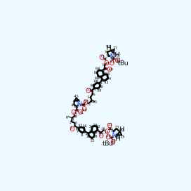 C[C@H](CCC(=O)c1ccc(-c2cccc3c(C(=O)COC(=O)[C@@H]4C[C@@H]5C[C@H]5N4C(=O)OC(C)(C)C)cccc23)cc1)COC(=O)C1CC2CC2N1C(=O)OC[C@H](C)CCC(=O)c1ccc(-c2cccc3c(C(=O)COC(=O)[C@@H]4C[C@@H]5C[C@H]5N4C(=O)OC(C)(C)C)cccc23)cc1